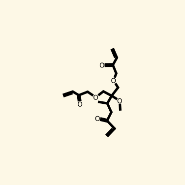 C=CC(=O)COCC(COCC(=O)C=C)(OC)C(C)CC(=O)C=C